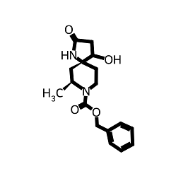 C[C@H]1C[C@@]2(CCN1C(=O)OCc1ccccc1)NC(=O)CC2O